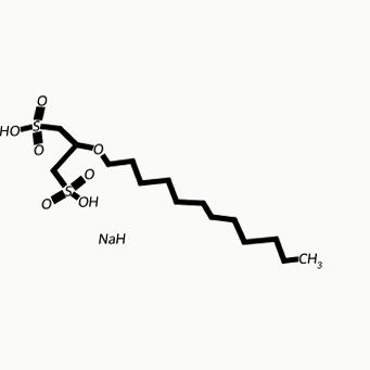 CCCCCCCCCCCCOC(CS(=O)(=O)O)CS(=O)(=O)O.[NaH]